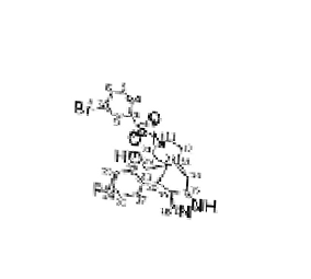 O=S(=O)(c1cccc(Br)c1)N1CCC2=Cc3[nH]ncc3C(c3ccc(F)cc3)C2(CO)C1